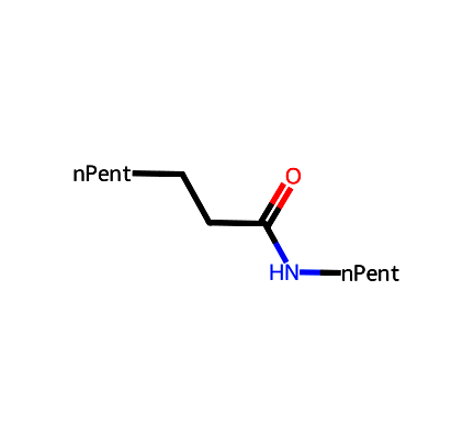 [CH2]CCCCCCC(=O)NCCCCC